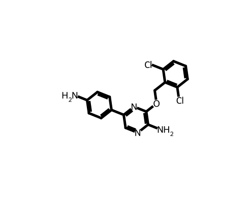 Nc1ccc(-c2cnc(N)c(OCc3c(Cl)cccc3Cl)n2)cc1